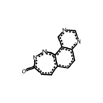 O=c1ccc2ccc3ncncc3c2nn1